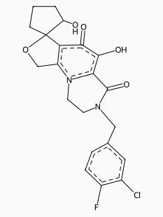 O=C1c2c(O)c(=O)c3c(n2CCN1Cc1ccc(F)c(Cl)c1)COC31CCCC1O